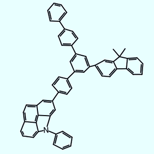 CC1(C)c2ccccc2-c2ccc(-c3cc(-c4ccc(-c5ccccc5)cc4)cc(-c4ccc(-c5cc6ccc7cccc8c7c6c(c5)n8-c5ccccc5)cc4)c3)cc21